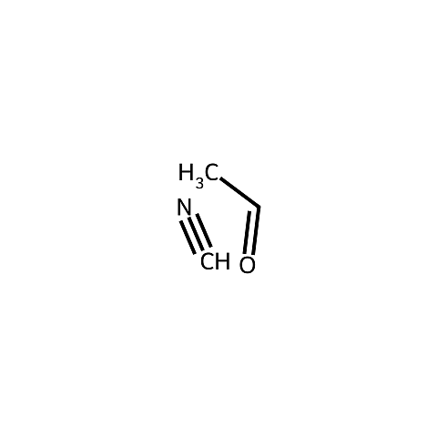 C#N.CC=O